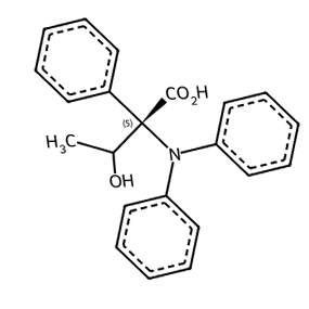 CC(O)[C@](C(=O)O)(c1ccccc1)N(c1ccccc1)c1ccccc1